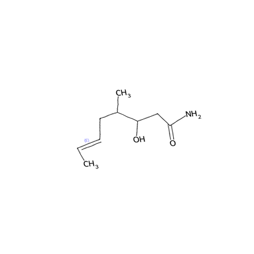 C/C=C/CC(C)C(O)CC(N)=O